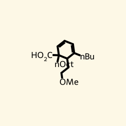 CCCCCCCCC1(C(=O)O)C=CC=C(CCCC)C1CCOC